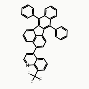 FC(F)(F)c1cccc2c(-c3ccc4c5c(cccc35)-c3c-4c(-c4ccccc4)c4ccccc4c3-c3ccccc3)ccnc12